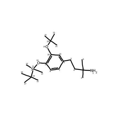 CC(C)(N)CCc1ccc(O[Si](C)(C)C(C)(C)C)c(OC(C)(C)C)c1